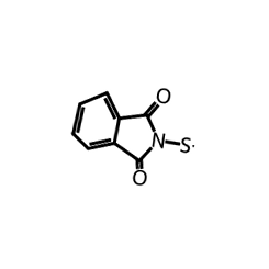 O=C1c2ccccc2C(=O)N1[S]